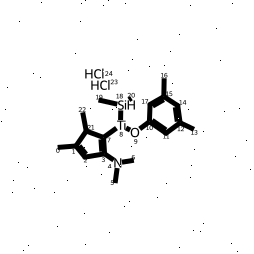 CC1=CC(N(C)C)=[C]([Ti]([O]c2cc(C)cc(C)c2)[SiH](C)C)C1C.Cl.Cl